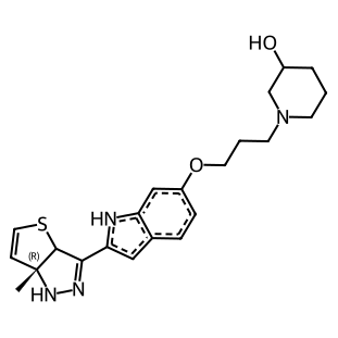 C[C@@]12C=CSC1C(c1cc3ccc(OCCCN4CCCC(O)C4)cc3[nH]1)=NN2